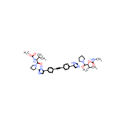 CNC(=O)O[C@H](C(=O)N1CCC[C@H]1c1ncc(-c2ccc(C#Cc3ccc(-c4cnc([C@@H]5CCCN5C(=O)C(NC(=O)OC)C(C)C)[nH]4)cc3)cc2)[nH]1)C(C)C